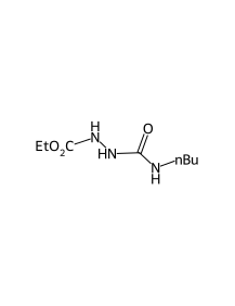 CCCCNC(=O)NNC(=O)OCC